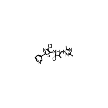 Cc1nc(C)n(CC(C)C(=O)Nc2sc(-c3cccnc3)nc2Cl)n1